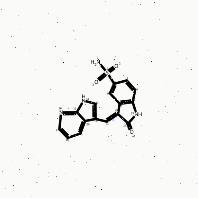 NS(=O)(=O)c1ccc2c(c1)/C(=C\c1c[nH]c3ncccc13)C(=O)N2